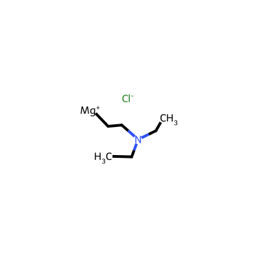 CCN(CC)C[CH2][Mg+].[Cl-]